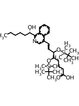 CCCCC[C@H](O)c1ncc(/C=C/C(O[Si](C)(C)C(C)(C)C)C(CCCC(=O)O)O[Si](C)(C)C(C)(C)C)c2ccccc12